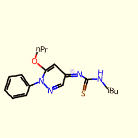 CCCOc1c/c(=N/C(=S)NC(C)CC)cnn1-c1ccccc1